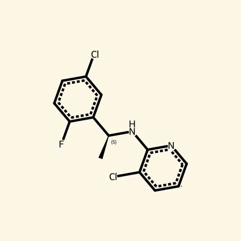 C[C@H](Nc1nc[c]cc1Cl)c1cc(Cl)ccc1F